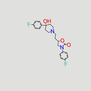 O=C1OC(CCN2CCC(O)(c3ccc(F)cc3)CC2)CN1c1ccc(F)cc1